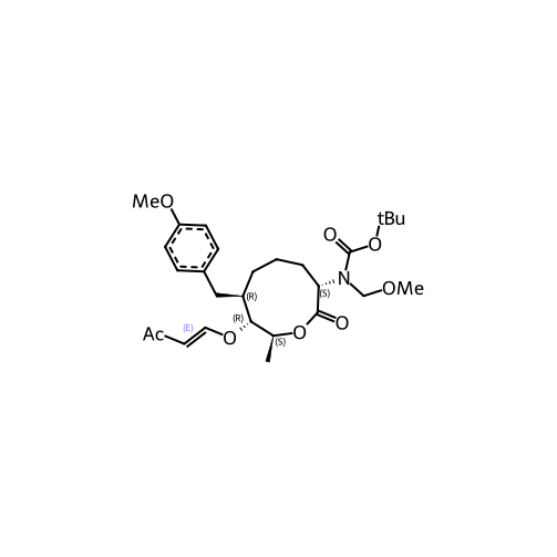 COCN(C(=O)OC(C)(C)C)[C@H]1CCC[C@H](Cc2ccc(OC)cc2)[C@@H](O/C=C/C(C)=O)[C@H](C)OC1=O